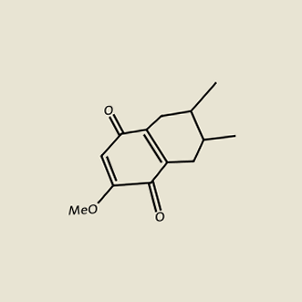 COC1=CC(=O)C2=C(CC(C)C(C)C2)C1=O